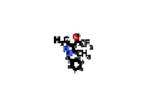 Cc1nn(Cc2ccccc2)c(C)c1C(=O)C(F)(F)F